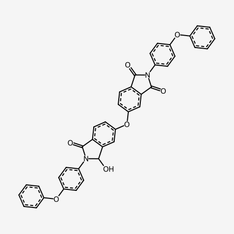 O=C1c2ccc(Oc3ccc4c(c3)C(O)N(c3ccc(Oc5ccccc5)cc3)C4=O)cc2C(=O)N1c1ccc(Oc2ccccc2)cc1